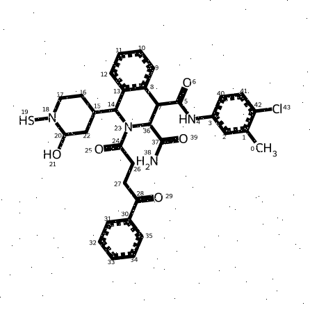 Cc1cc(NC(=O)C2c3ccccc3C(C3CCN(S)C(O)C3)N(C(=O)CCC(=O)c3ccccc3)C2C(N)=O)ccc1Cl